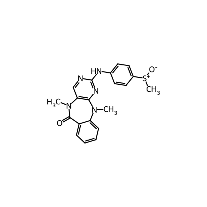 CN1C(=O)c2ccccc2N(C)c2nc(Nc3ccc([S+](C)[O-])cc3)ncc21